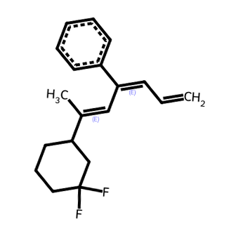 C=C/C=C(\C=C(/C)C1CCCC(F)(F)C1)c1ccccc1